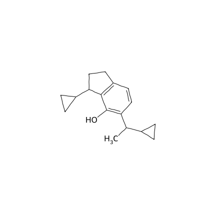 CC(c1ccc2c(c1O)C(C1CC1)CC2)C1CC1